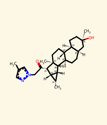 Cc1cnn(CC(=O)[C@H]2[C@H]3[C@@H](C)[C@H]3[C@H]3[C@@H]4CC[C@@H]5C[C@](C)(O)CC[C@@H]5[C@H]4CC[C@@]32C)c1